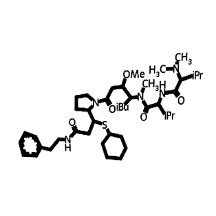 CCC(C)C(C(CC(=O)N1CCCC1C(CC(=O)NCCc1ccccc1)SC1CCCCC1)OC)N(C)C(=O)C(NC(=O)C(C(C)C)N(C)C)C(C)C